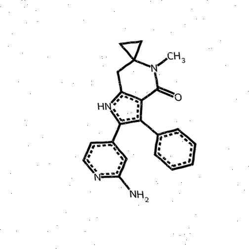 CN1C(=O)c2c([nH]c(-c3ccnc(N)c3)c2-c2ccccc2)CC12CC2